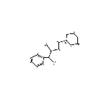 CC(C)C(c1ccccc1)C(O)CCN1CCCCC1